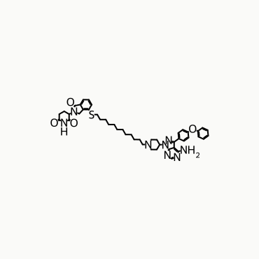 Nc1ncnc2c1c(-c1ccc(Oc3ccccc3)cc1)nn2C1CCN(CCCCCCCCCCCCSc2cccc3c2CN(C2CCC(=O)NC2=O)C3=O)CC1